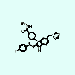 CC(C)NC(=O)C1CCC(n2/c(=N\C(=O)c3ccc(F)cc3)[nH]c3ccc(Cn4cncn4)cc32)CC1